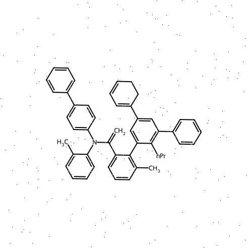 C=C(c1cccc(C)c1-c1cc(C2=CC=CCC2)cc(-c2ccccc2)c1CCC)N(c1ccc(-c2ccccc2)cc1)c1ccccc1C